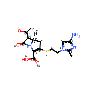 Cc1nc(N)cn1CCSC1=C(C(=O)O)N2C(=O)[C@@H]([C@H](C)O)[C@H]2C1